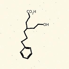 O=C(O)CCC(CCO)CCCc1ccccc1